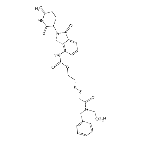 C=C1CCC(N2Cc3c(NC(=O)OCCSSCC(=O)N(CC(=O)O)Cc4ccccc4)cccc3C2=O)C(=O)N1